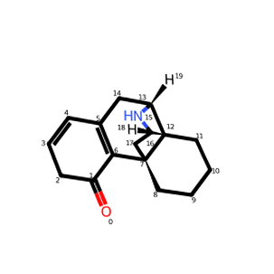 O=C1CC=CC2=C1[C@@]13CCCC[C@H]1[C@@H](C2)NCC3